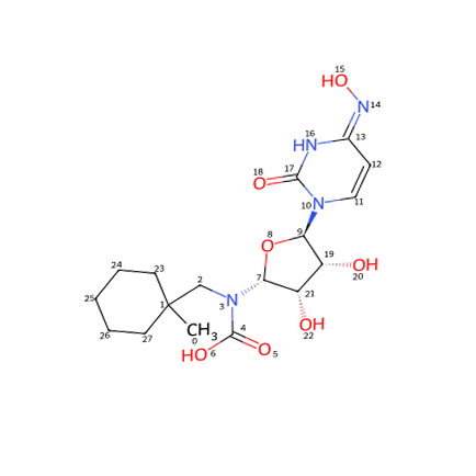 CC1(CN(C(=O)O)[C@@H]2O[C@@H](n3cc/c(=N/O)[nH]c3=O)[C@H](O)[C@@H]2O)CCCCC1